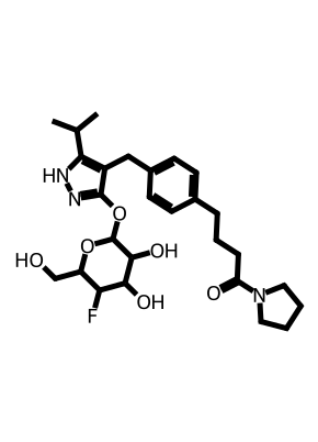 CC(C)c1[nH]nc(OC2OC(CO)C(F)C(O)C2O)c1Cc1ccc(CCCC(=O)N2CCCC2)cc1